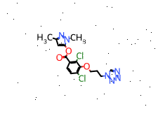 Cc1cc(OC(=O)c2ccc(Cl)c(OCCCn3cnnn3)c2Cl)n(C)n1